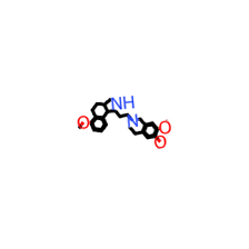 COc1cc2c(cc1OC)CN(CCC1NCC3CCc4c(OC)cccc4C31)CC2